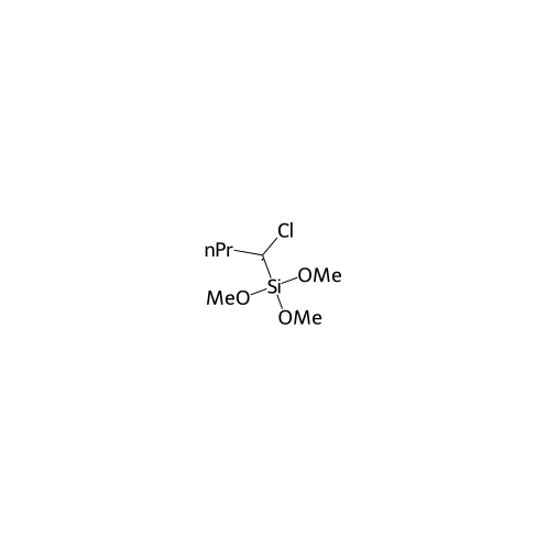 CCC[C](Cl)[Si](OC)(OC)OC